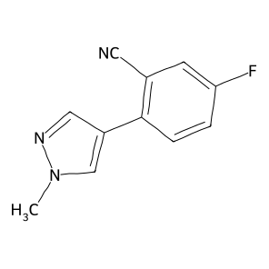 Cn1cc(-c2ccc(F)cc2C#N)cn1